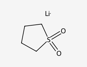 O=S1(=O)CCCC1.[Li]